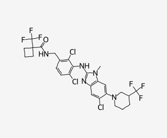 Cn1c(Nc2c(Cl)ccc(CNC(=O)C3(C(F)(F)F)CCC3)c2Cl)nc2cc(Cl)c(N3CCCC(C(F)(F)F)C3)cc21